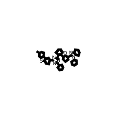 Cc1ccc2c(c1)sc1ccc(-c3nc(-c4ccccc4)nc(-c4cccc5oc6c(-c7nc8ccccc8n7-c7ccccc7)cccc6c45)n3)cc12